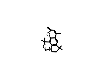 C=C1C=C(C)c2cc3c4c(c2O1)C(C)(C)CCN4CCC3(C)C